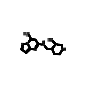 Nc1cc(NCC2CCNCC2O)nc2ccnn12